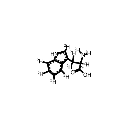 [2H]c1[nH]c2c([2H])c([2H])c([2H])c([2H])c2c1C([2H])([2H])[C@@]([2H])(C(=O)O)N([2H])[2H]